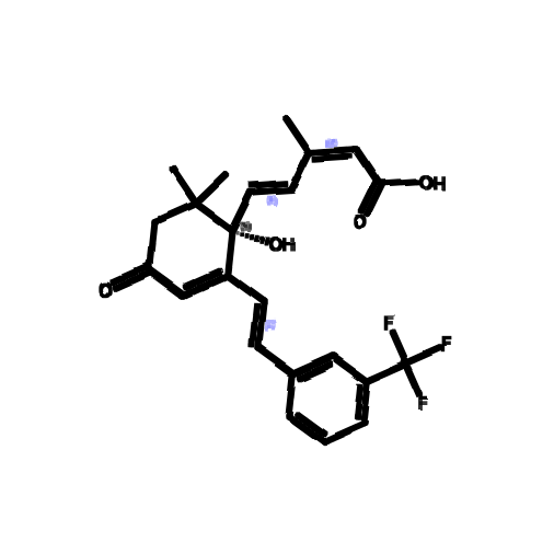 CC(=C/C(=O)O)/C=C/[C@@]1(O)C(/C=C/c2cccc(C(F)(F)F)c2)=CC(=O)CC1(C)C